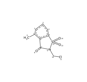 Cc1cccc2c1C(=O)N(CCl)S2(=O)=O